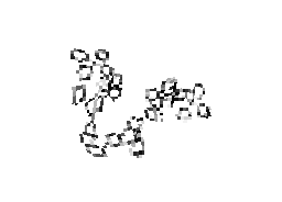 Cc1cc(-c2ccc3c4ccc(-c5cccc6ccc7cc(-c8cc(-c9cccc%10c9Oc9cc%11c(cc9O%10)-c9ccccc9C%11(c9ccccc9)c9ccccc9)cc(-c9ccccc9)n8)ccc7c56)cc4c4ccccc4c3c2)cc(-c2cccc3c2Oc2cc4c(cc2O3)-c2ccccc2C4(c2ccccc2)c2ccccc2)n1